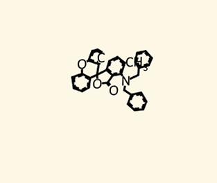 Cc1ccc2c(c1N(Cc1ccccc1)Cc1ccccc1)C(=O)OC21c2ccccc2Oc2ccccc21